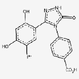 CC(C)c1cc(-c2n[nH]c(=O)n2-c2ccc(C(=O)O)cc2)c(O)cc1O